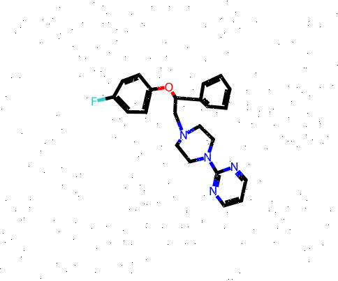 Fc1ccc(OC(CN2CCN(c3ncccn3)CC2)c2ccccc2)cc1